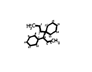 CC[CH]C1(C(CC)C2CCCCC2)CCCCC1